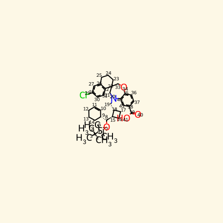 CC(C)(C)[Si](C)(C)OC([C@H]1C=CCCC1)[C@@H]1CC[C@H]1CN1CC2(CCCc3cc(Cl)ccc32)COc2ccc(C(=O)O)cc21